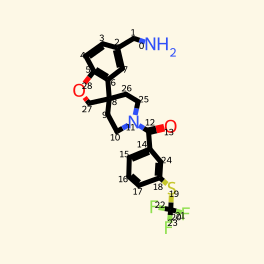 NCc1ccc2c(c1)C1(CCN(C(=O)c3cccc(SC(F)(F)F)c3)CC1)CO2